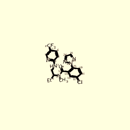 CCC(CNc1ccc(C(F)(F)F)cn1)N(C)C(=O)c1cc(Cl)ccc1-n1nccn1